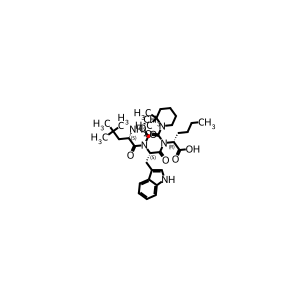 CCCC[C@H](C(=O)O)N(C(=O)[C@H](Cc1c[nH]c2ccccc12)N(C(=O)OC)C(=O)[C@@H](N)CC(C)(C)C)C(=O)N1CCCCC1(C)C